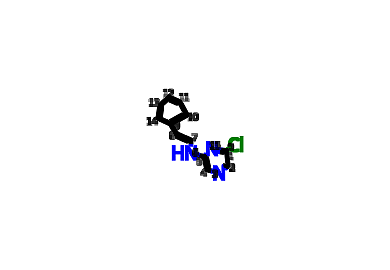 Clc1cncc(NC=Cc2ccccc2)n1